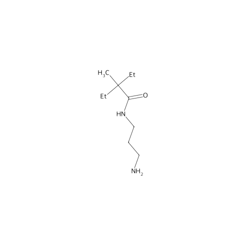 CCC(C)(CC)C(=O)NCCCN